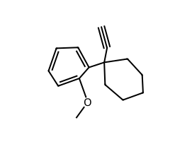 C#CC1(c2ccccc2OC)CCCCC1